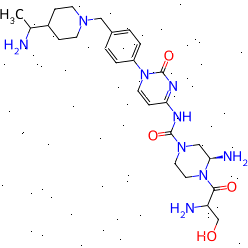 CC(N)C1CCN(Cc2ccc(-n3ccc(NC(=O)N4CCN(C(=O)C(N)CO)[C@H](N)C4)nc3=O)cc2)CC1